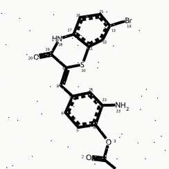 CC(=O)Oc1ccc(/C=C2\Sc3cc(Br)ccc3NC2=O)cc1N